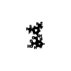 O=C(O)C1C(C(=O)Nc2cc(C(F)(F)F)cc(C(F)(F)F)c2)[C@H]2C=C[C@H]1C2